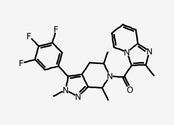 Cc1nc2ccccn2c1C(=O)N1C(C)Cc2c(nn(C)c2-c2cc(F)c(F)c(F)c2)C1C